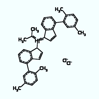 C[C](C)=[Hf+2]([CH]1C=Cc2c(-c3cc(C)ccc3C)cccc21)[CH]1C=Cc2c(-c3cc(C)ccc3C)cccc21.[Cl-].[Cl-]